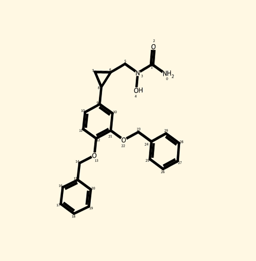 NC(=O)N(O)CC1CC1c1ccc(OCc2ccccc2)c(OCc2ccccc2)c1